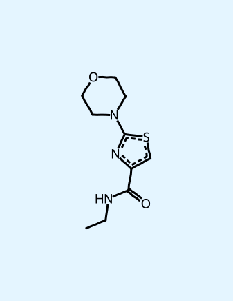 CCNC(=O)c1csc(N2CCOCC2)n1